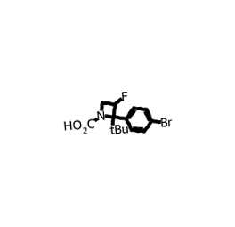 CC(C)(C)C1(c2ccc(Br)cc2)C(F)CN1C(=O)O